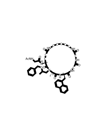 CC(=O)NCC(=O)N[C@H]1CCC(=O)NCCCCCNC(=O)CNC(=O)CNC(=O)[C@@H](Cc2cccc3ccccc23)NC(=O)[C@H](C)N(CC(C)OCc2ccccc2)C1=O